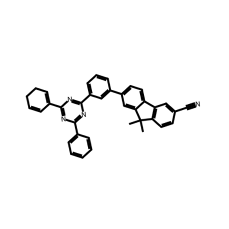 CC1(C)c2ccc(C#N)cc2-c2ccc(-c3cccc(-c4nc(C5=CCCC=C5)nc(-c5ccccc5)n4)c3)cc21